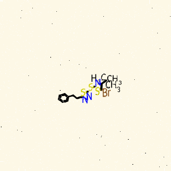 CC(C)(C)c1nc(Sc2nnc(CCc3ccccc3)s2)sc1Br